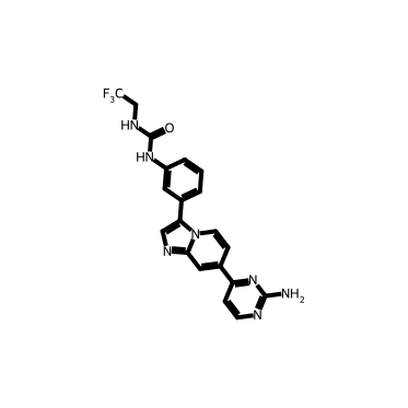 Nc1nccc(-c2ccn3c(-c4cccc(NC(=O)NCC(F)(F)F)c4)cnc3c2)n1